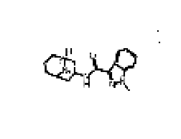 CN1C2CCC[C@H]1CC(NC(=O)c1nn(C)c3ccccc13)C2